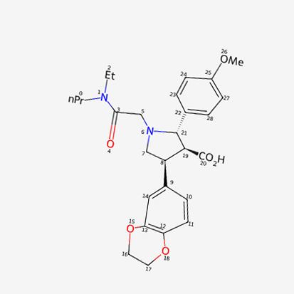 CCCN(CC)C(=O)CN1C[C@H](c2ccc3c(c2)OCCO3)[C@H](C(=O)O)[C@H]1c1ccc(OC)cc1